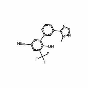 Cn1ncnc1-c1cccc(-c2cc(C#N)cc(C(F)(F)F)c2O)c1